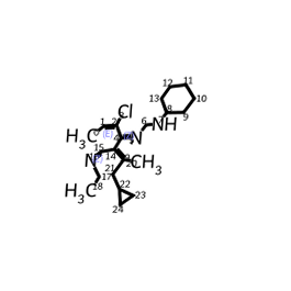 C/C=C(Cl)\C(=N/CNC1CCCCC1)C(/C=N\CC)=C(C)CC1CC1